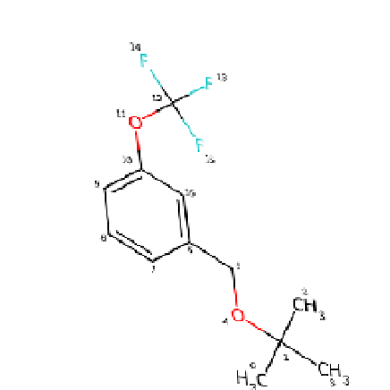 CC(C)(C)OCc1cccc(OC(F)(F)F)c1